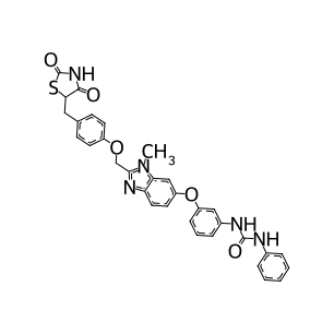 Cn1c(COc2ccc(CC3SC(=O)NC3=O)cc2)nc2ccc(Oc3cccc(NC(=O)Nc4ccccc4)c3)cc21